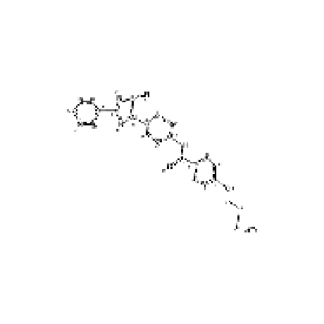 N#CCCCOc1ccc(C(=O)Nc2ccc(-n3nc(-c4cccnc4)nc3C#N)cc2)cc1